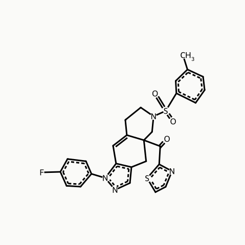 Cc1cccc(S(=O)(=O)N2CCC3=Cc4c(cnn4-c4ccc(F)cc4)CC3(C(=O)c3nccs3)C2)c1